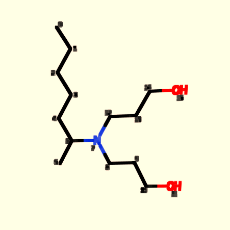 CCCCCC(C)N(CCCO)CCCO